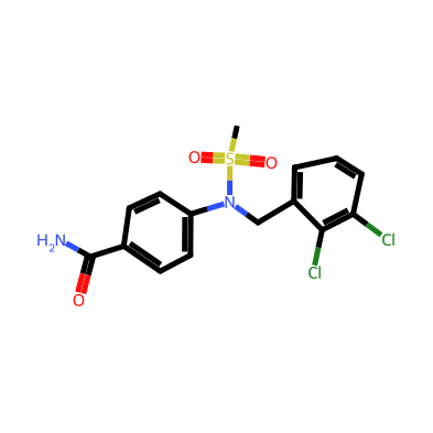 CS(=O)(=O)N(Cc1cccc(Cl)c1Cl)c1ccc(C(N)=O)cc1